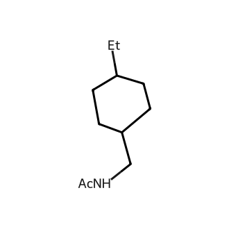 CCC1CCC(CNC(C)=O)CC1